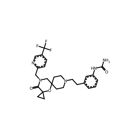 NC(=O)Nc1cccc(CCN2CCC3(CC2)CN(Cc2ccc(C(F)(F)F)cn2)C(=O)C2(CC2)O3)c1